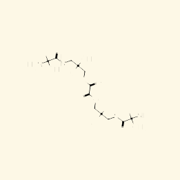 CC(C)(CNC(=O)C(C)(C)N)COC(=O)C(=O)OCC(C)(C)CNC(=O)C(C)(C)N